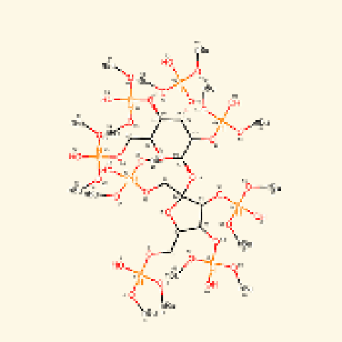 CCCCO[PH](O)(OCCCC)OCC1OC(CO[PH](O)(OCCCC)OCCCC)(O[C@H]2OC(CO[PH](O)(OCCCC)OCCCC)[C@@H](O[PH](O)(OCCCC)OCCCC)[C@H](O[PH](O)(OCCCC)OCCCC)C2O[PH](O)(OCCCC)OCCCC)C(O[PH](O)(OCCCC)OCCCC)C1O[PH](O)(OCCCC)OCCCC